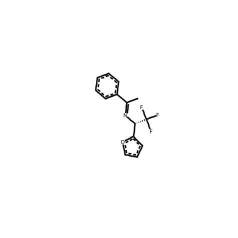 C/C(=N\[C@@H](c1ccco1)C(F)(F)F)c1ccccc1